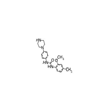 COc1cc(C)ccc1NC(=O)Nc1ccc(N2CCNCC2)cc1